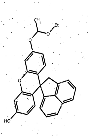 CCOC(C)Oc1ccc2c(c1)Oc1cc(O)ccc1C21Cc2cccc3cccc1c23